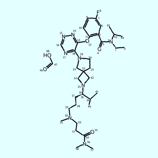 CCN(C(=O)c1cc(F)ccc1Oc1nncnc1N1CCC2(C1)CN([C@H](CCCN(C)CCC(=O)N(C)C)C(C)C)C2)C(C)C.O=CO